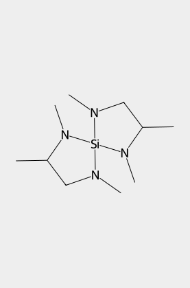 CC1CN(C)[Si]2(N(C)CC(C)N2C)N1C